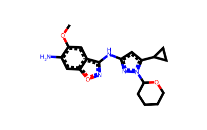 COc1cc2c(Nc3cc(C4CC4)n(C4CCCCO4)n3)noc2cc1N